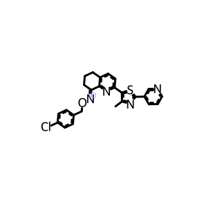 Cc1nc(-c2cccnc2)sc1-c1ccc2c(n1)/C(=N/OCc1ccc(Cl)cc1)CCC2